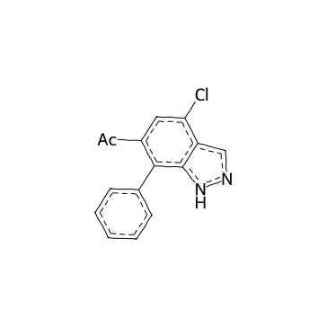 CC(=O)c1cc(Cl)c2cn[nH]c2c1-c1ccccc1